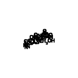 CO[C@@]1(NC(=O)CS(=O)(=O)Cc2onc(O)c2Cl)C(=O)N2C(C(=O)O)=C(CSc3nnnn3C)CS[C@@H]21